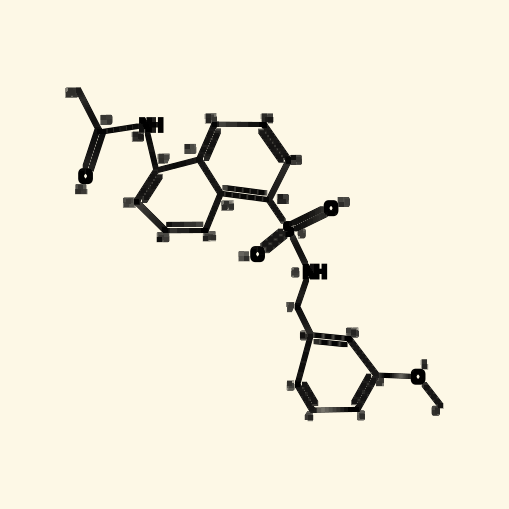 COc1cccc(CNS(=O)(=O)c2cccc3c(NC(C)=O)cccc23)c1